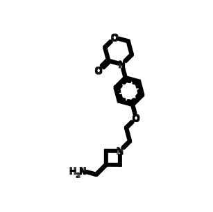 NCC1CN(CCOc2ccc(N3CCOCC3=O)cc2)C1